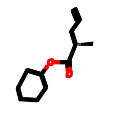 C=CC[C@H](C)C(=O)OC1CCCCC1